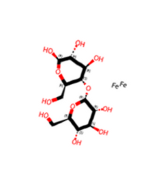 OC[C@H]1O[C@H](O[C@H]2[C@H](O)[C@@H](O)[C@H](O)O[C@@H]2CO)[C@H](O)[C@@H](O)[C@@H]1O.[Fe].[Fe]